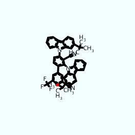 CC(C)(C)c1ccc2c3ccccc3n(-c3ccc(-c4cc(C#N)cc(C(F)(F)F)c4)c(-n4c5ccccc5c5ccc(C(C)(C)C)cc54)c3C#N)c2c1